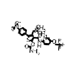 CN(C)Cc1c(-c2ccc([N+](=O)[O-])cc2)sc(OC(N)=O)c1C(=O)Nc1ccc(OCC(F)(F)F)cn1